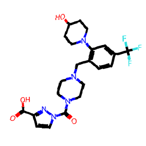 O=C(O)c1ccn(C(=O)N2CCN(Cc3ccc(C(F)(F)F)cc3N3CCC(O)CC3)CC2)n1